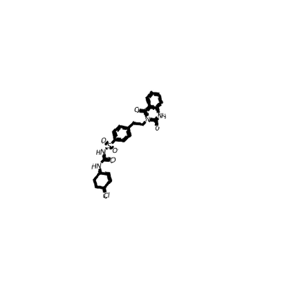 O=C(NC1CCC(Cl)CC1)NS(=O)(=O)c1ccc(CCn2c(=O)[nH]c3ccccc3c2=O)cc1